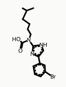 CC(C)CCCCN(C(=O)O)c1nc(-c2cccc(Br)c2)c[nH]1